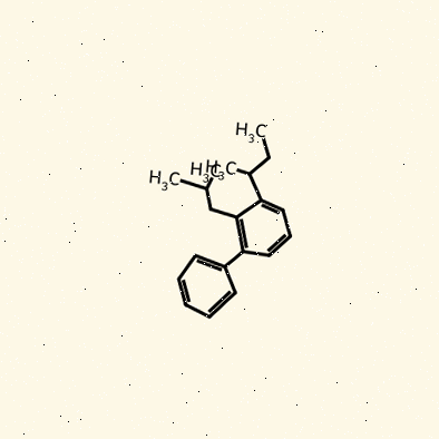 CCC(C)c1cccc(-c2ccccc2)c1CC(C)C